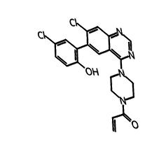 C=CC(=O)N1CCN(c2ncnc3cc(Cl)c(-c4cc(Cl)ccc4O)cc23)CC1